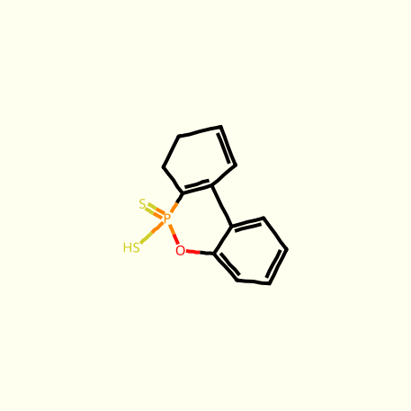 S=P1(S)Oc2ccccc2C2=C1CCC=C2